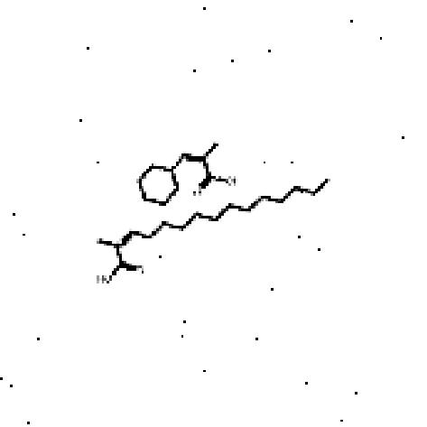 CC(=CC1CCCCC1)C(=O)O.CCCCCCCCCCCCC=C(C)C(=O)O